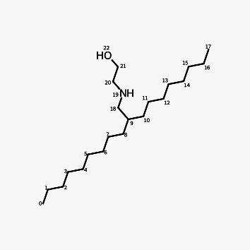 CCCCCCCCCC(CCCCCCCC)CNCCO